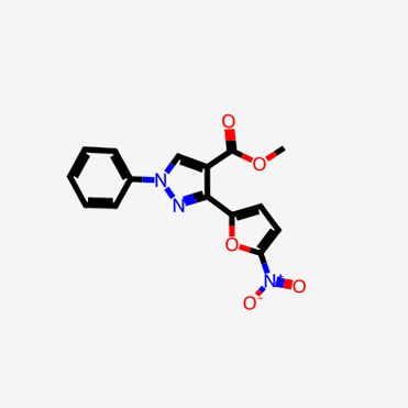 COC(=O)c1cn(-c2ccccc2)nc1-c1ccc([N+](=O)[O-])o1